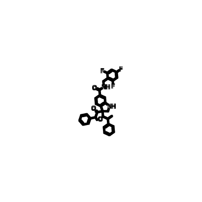 CC(C(=O)C1(C(=O)C(C)c2ccccc2)CNc2cc(C(=O)NCc3c(F)cc(F)cc3F)ccc21)c1ccccc1